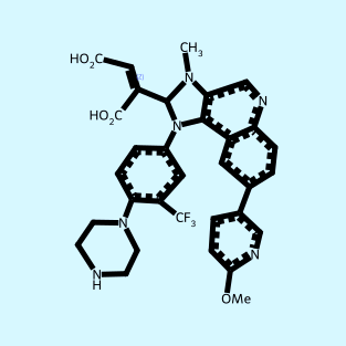 COc1ccc(-c2ccc3ncc4c(c3c2)N(c2ccc(N3CCNCC3)c(C(F)(F)F)c2)C(/C(=C/C(=O)O)C(=O)O)N4C)cn1